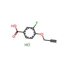 C#CCOc1ccc(C(=O)O)cc1F.Cl